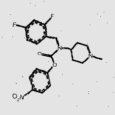 CN1CCC(N(Cc2ccc(F)cc2F)C(=O)Oc2ccc([N+](=O)[O-])cc2)CC1